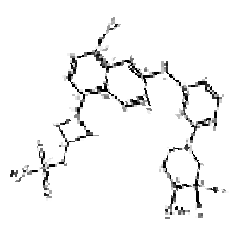 CO[C@H]1CCN(c2nccc(Nc3cc4c(C(C)C)ccc(N5CC(CS(C)(=O)=O)C5)c4cn3)n2)CC1(F)F